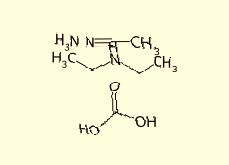 CC#N.CCNCC.N.O=C(O)O